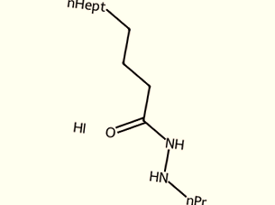 CCCCCCCCCCC(=O)NNCCC.I